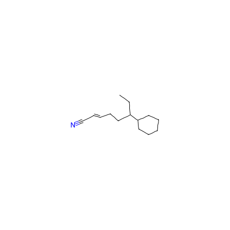 CCC(CCC=CC#N)C1CCCCC1